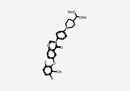 COC(OC)C1CCN(c2ccc(-n3cnc4ccc(Oc5c(F)ccc(F)c5C#N)cc4c3=O)cc2)CC1